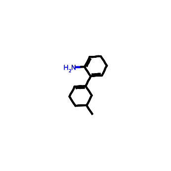 CC1CCC=C(C2=CCCC=C2N)C1